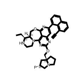 C#Cc1cccc2cccc(-c3cc4nc(OC[C@@]56CCCN5C[C@H](F)C6)nc5c4c(n3)OC[C@@H]3[C@H](CC)NCCN53)c12